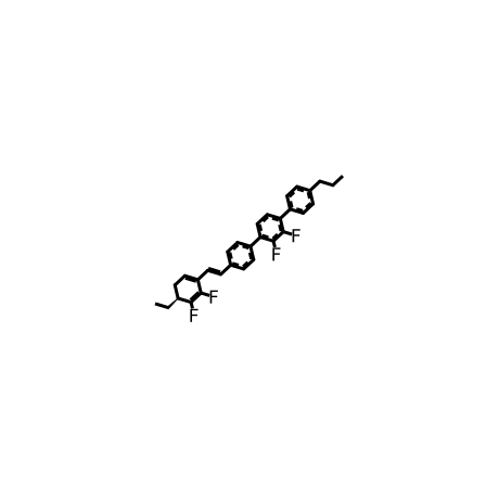 CCCc1ccc(-c2ccc(-c3ccc(/C=C/C4=CC[C@H](CC)C(F)=C4F)cc3)c(F)c2F)cc1